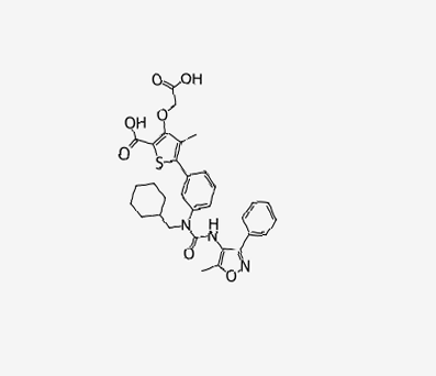 Cc1onc(-c2ccccc2)c1NC(=O)N(CC1CCCCC1)c1cccc(-c2sc(C(=O)O)c(OCC(=O)O)c2C)c1